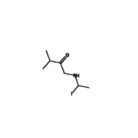 CC(I)NCC(=O)C(C)C